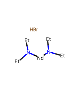 Br.CC[N](CC)[Nd][N](CC)CC